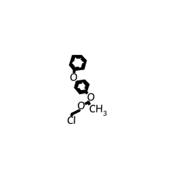 CC(OCCCl)Oc1ccc(Oc2ccccc2)cc1